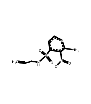 C=CCNS(=O)(=O)c1ccnc(N)c1[N+](=O)[O-]